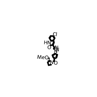 COC[C@@H]1CCCN1C(=O)c1ccc(-n2cc(-c3cc4cc(Cl)ccc4[nH]c3=O)nn2)cc1